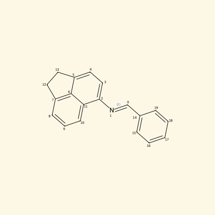 C(=N\c1ccc2c3c(cccc13)CC2)/c1ccccc1